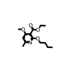 CCCCOc1nc(C)cc(OC)c1C(=O)OCC